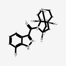 O=C(c1n[nH]c2c(Cl)cccc12)N1[C@H]2C[C@H]3CC[N@@](C2)C[C@H]31